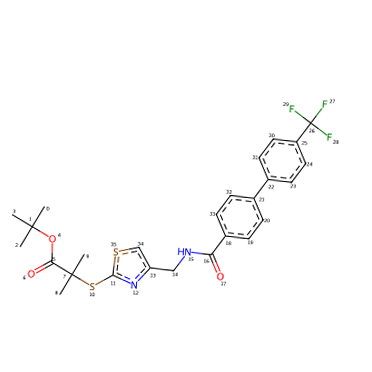 CC(C)(C)OC(=O)C(C)(C)Sc1nc(CNC(=O)c2ccc(-c3ccc(C(F)(F)F)cc3)cc2)cs1